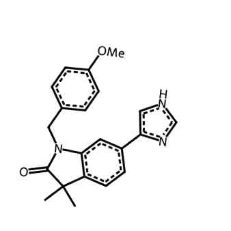 COc1ccc(CN2C(=O)C(C)(C)c3ccc(-c4c[nH]cn4)cc32)cc1